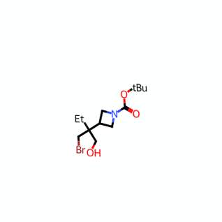 CCC(CO)(CBr)C1CN(C(=O)OC(C)(C)C)C1